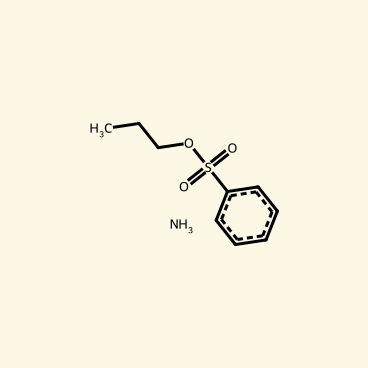 CCCOS(=O)(=O)c1ccccc1.N